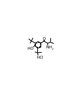 CC(C)C(N)C(=O)c1cc(C(C)(C)C)c(O)c(C(C)(C)C)c1.Cl